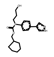 O=C(OCC1CCCCC1)N(CCCO)c1ccc(-c2cn[nH]c2)cc1